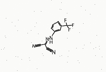 N#CC(C#N)=NNc1cccc(C(F)(F)F)c1